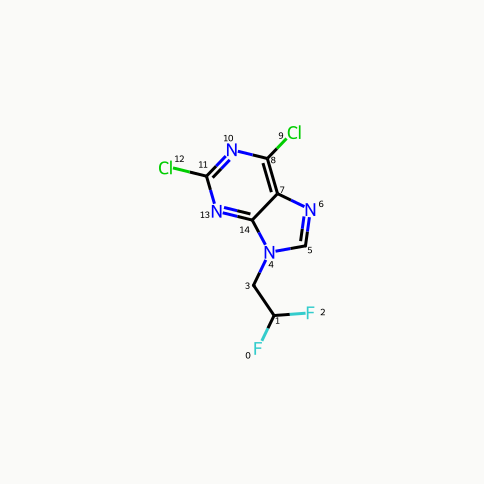 FC(F)Cn1cnc2c(Cl)nc(Cl)nc21